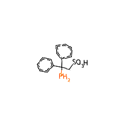 O=S(=O)(O)CC(P)(c1ccccc1)c1ccccc1